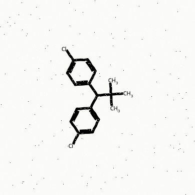 CC(C)(C)C(c1ccc(Cl)cc1)c1ccc(Cl)cc1